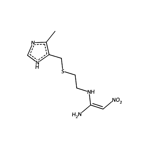 Cc1nc[nH]c1CSCCN/C(N)=C\[N+](=O)[O-]